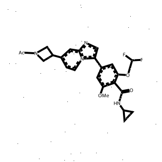 COc1cc(-c2cnc3cc(C4CN(C(C)=O)C4)ccn23)cc(OC(F)F)c1C(=O)NC1CC1